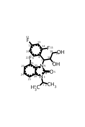 CC(C)n1c(=O)n(C(c2ccc(F)cc2F)C(O)CO)c2c(F)cccc21